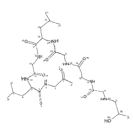 CC(=O)CNC(=O)C(CC(C)C)NC(=O)CNC(=O)C(CC(C)C)NC(=O)CNC(=O)CNC(=O)CNCC(C)O